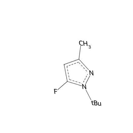 Cc1cc(F)n(C(C)(C)C)n1